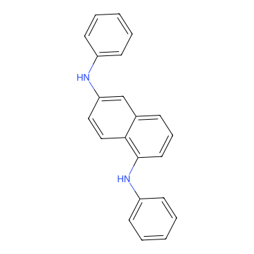 c1ccc(Nc2ccc3c(Nc4ccccc4)cccc3c2)cc1